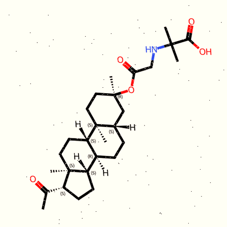 CC(=O)[C@H]1CC[C@H]2[C@@H]3CC[C@H]4C[C@](C)(OC(=O)CNC(C)(C)C(=O)O)CC[C@]4(C)[C@H]3CC[C@]12C